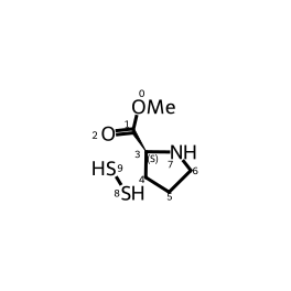 COC(=O)[C@@H]1CCCN1.SS